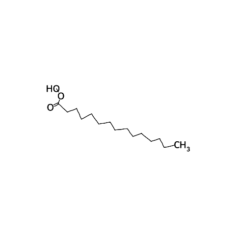 CCCCCCCCCCCCCCC(=O)OO